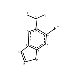 CC(C)c1cc2c(cc1F)CC=C2